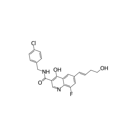 O=C(NCc1ccc(Cl)cc1)c1cnc2c(F)cc(C=CCCO)cc2c1O